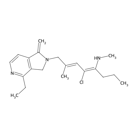 C=C1c2ccnc(CC)c2CN1C/C(C)=C/C(Cl)=C(/CCC)NC